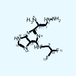 NN/C=C(\N)c1nc(NCC(F)F)c2nc[nH]c2n1